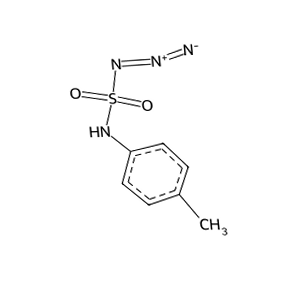 Cc1ccc(NS(=O)(=O)N=[N+]=[N-])cc1